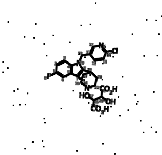 Fc1ccc2c(c1)c1c(n2Cc2ccc(Cl)nc2)C2CCN(CC2)C1.O=C(O)C(O)C(O)C(=O)O